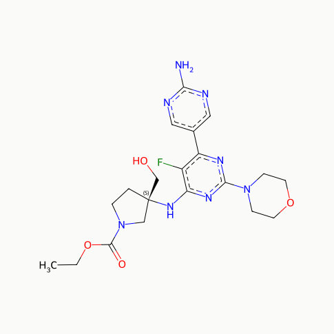 CCOC(=O)N1CC[C@](CO)(Nc2nc(N3CCOCC3)nc(-c3cnc(N)nc3)c2F)C1